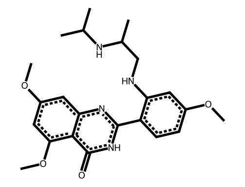 COc1ccc(-c2nc3cc(OC)cc(OC)c3c(=O)[nH]2)c(NCC(C)NC(C)C)c1